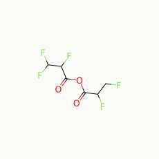 O=C(OC(=O)C(F)C(F)F)C(F)CF